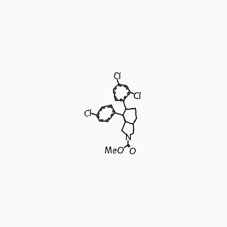 COC(=O)N1CC2CCC(c3ccc(Cl)cc3Cl)C(c3ccc(Cl)cc3)C2C1